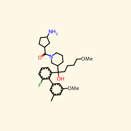 COCCCCC(O)(c1cccc(F)c1-c1cc(C)cc(OC)c1)C1CCCN(C(=O)C2CCC(N)C2)C1